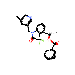 Cc1cncc(CN2C(=O)C(F)(F)c3c([C@H](C)OC(=O)c4ccccc4)cccc32)c1